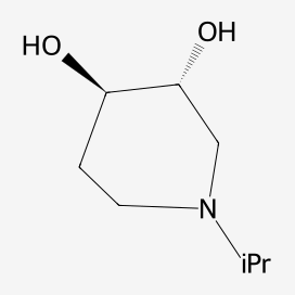 CC(C)N1CC[C@@H](O)[C@H](O)C1